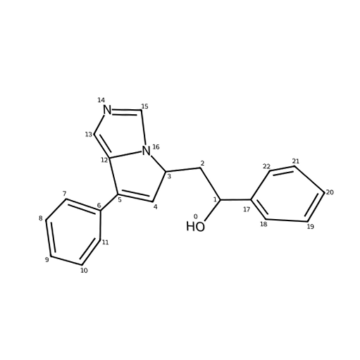 OC(CC1C=C(c2ccccc2)c2cncn21)c1ccccc1